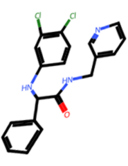 O=C(NCc1cccnc1)C(Nc1ccc(Cl)c(Cl)c1)c1ccccc1